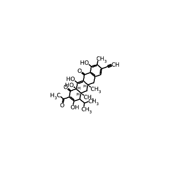 C#Cc1cc2c(c(O)c1C)C(=O)C1=C(O)[C@@]3(O)C(=O)C(C(C)=O)=C(O)C(C(C)C)[C@@]3(C)C[C@@]1(C)C2